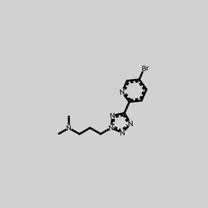 CN(C)CCCn1nnc(-c2ccc(Br)cn2)n1